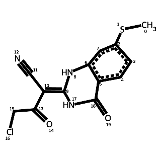 CSc1ccc2c(c1)N/C(=C(\C#N)C(=O)CCl)NC2=O